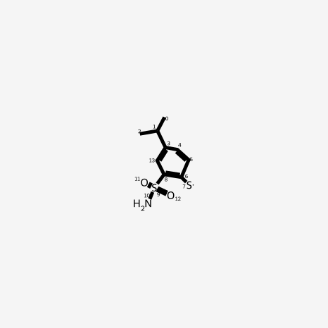 CC(C)c1ccc([S])c(S(N)(=O)=O)c1